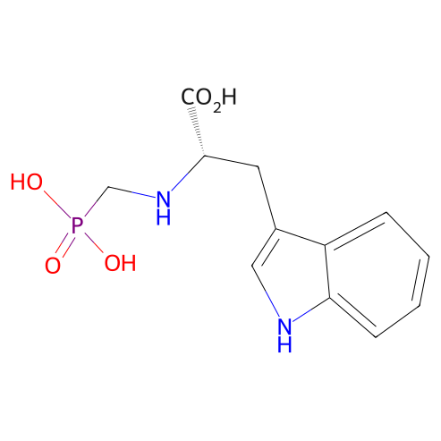 O=C(O)[C@H](Cc1c[nH]c2ccccc12)NCP(=O)(O)O